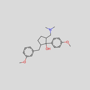 COc1ccc(C2(O)C(Cc3cccc(OC)c3)CCC2CN(C)C)cc1